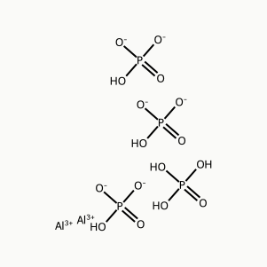 O=P(O)(O)O.O=P([O-])([O-])O.O=P([O-])([O-])O.O=P([O-])([O-])O.[Al+3].[Al+3]